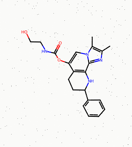 Cc1nc2c3c(c(OC(=O)NCCO)cn2c1C)CCC(c1ccccc1)N3